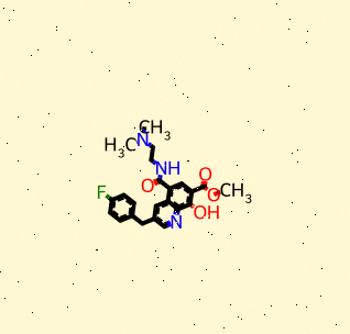 COC(=O)c1cc(C(=O)NCCN(C)C)c2cc(Cc3ccc(F)cc3)cnc2c1O